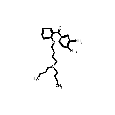 CCCCN(CCCC)CCCCOc1ccccc1C(=O)c1ccc(N)c(N)c1